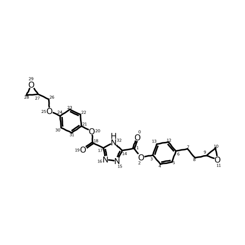 O=C(Oc1ccc(CCC2CO2)cc1)c1nnc(C(=O)Oc2ccc(OCC3CO3)cc2)[nH]1